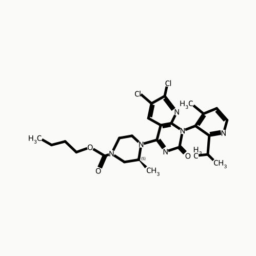 CCCCOC(=O)N1CCN(c2nc(=O)n(-c3c(C)ccnc3C(C)C)c3nc(Cl)c(Cl)cc23)[C@@H](C)C1